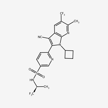 Cc1nc2c(cc1C(F)(F)F)c(C#N)c(-c1ccc(S(=O)(=O)N[C@@H](C)C(F)(F)F)cn1)n2C1CCC1